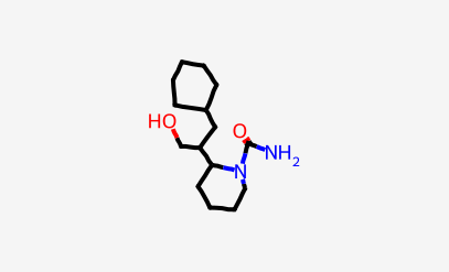 NC(=O)N1CCCCC1C(CO)CC1CCCCC1